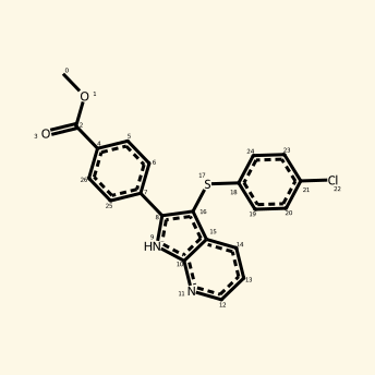 COC(=O)c1ccc(-c2[nH]c3ncccc3c2Sc2ccc(Cl)cc2)cc1